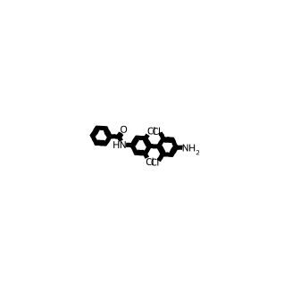 Nc1cc(Cl)c(-c2c(Cl)cc(NC(=O)c3ccccc3)cc2Cl)c(Cl)c1